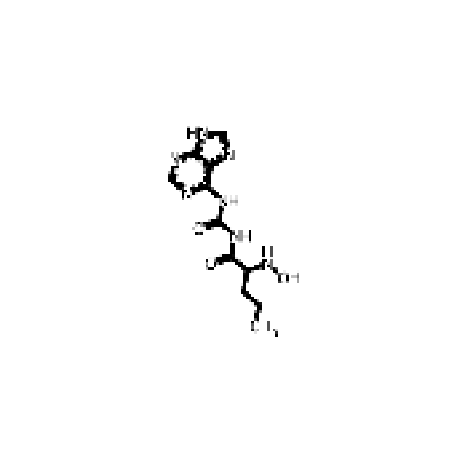 CCCC(NO)C(=O)NC(=O)Nc1n[c]nc2[nH]cnc12